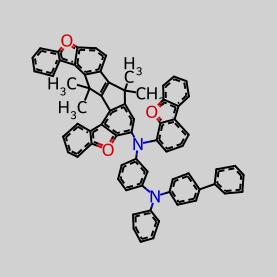 CC1(C)C2=C(c3c1cc(N(c1cccc(N(c4ccccc4)c4ccc(-c5ccccc5)cc4)c1)c1cccc4c1oc1ccccc14)c1oc4ccccc4c31)C(C)(C)c1c2ccc2oc3ccccc3c12